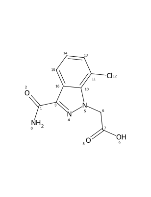 NC(=O)c1nn(CC(=O)O)c2c(Cl)cccc12